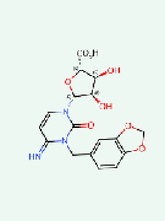 N=c1ccn([C@@H]2O[C@H](C(=O)O)[C@@H](O)[C@H]2O)c(=O)n1Cc1ccc2c(c1)OCO2